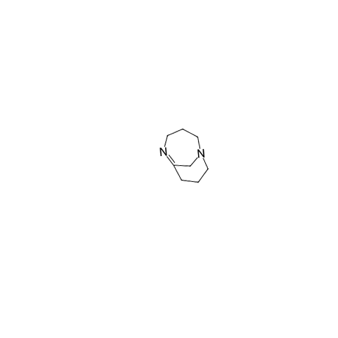 C1CN=C2CCCN(C1)C2